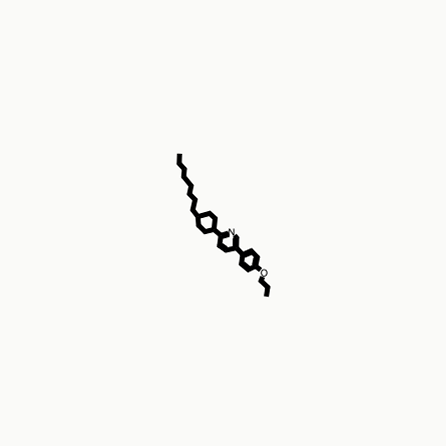 CCCCCCCCC1CCC(c2ccc(-c3ccc(OCCC)cc3)cn2)CC1